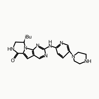 CC[C@H](C)C1CNC(=O)c2cc3cnc(Nc4ccc(N5CCNCC5)cn4)nc3n21